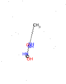 CCCCCCCCCCCCCCCCCCNC(=O)NCCCCCCNc1ccc(O)cc1